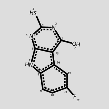 Oc1nc(S)nc2[nH]c3[c]cc(F)cc3c12